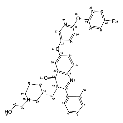 Cc1ccccc1-c1nc2ccc(Oc3ccc(Oc4ccc(F)cn4)nc3)cc2c(=O)n1C[C@H]1CCCN(CCO)C1